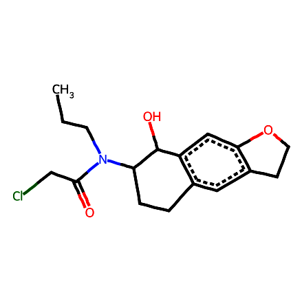 CCCN(C(=O)CCl)C1CCc2cc3c(cc2C1O)OCC3